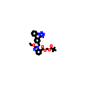 CCOc1nc2cccc(C(=O)OCOC(=O)C(C)(C)C)c2n1Cc1ccc(-c2ccccc2)c(-c2nnn[nH]2)c1